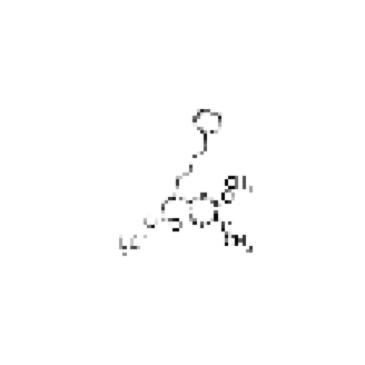 CCOC(=O)C=C(CCCCc1ccccc1)c1ccc(OC)c(OC)c1